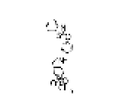 CS(=O)(=O)N1CC2CCN(Cc3ccc(Oc4nc5ccccc5s4)cc3)C2C1